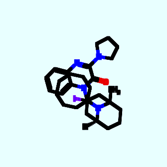 BC12CCC[C@@H](C[C@@](I)(n3c(=O)c(N4CCCC4)nc4ccccc43)C1)N2C1CCCCCCC1